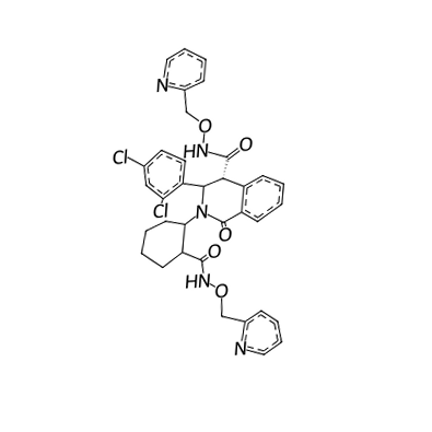 O=C(NOCc1ccccn1)C1CCCCC1N1C(=O)c2ccccc2[C@@H](C(=O)NOCc2ccccn2)C1c1ccc(Cl)cc1Cl